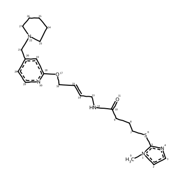 Cn1ccnc1SCCCC(=O)NCC=CCOc1cc(CN2CCCCC2)ccn1